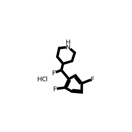 Cl.Fc1ccc(F)c(C(F)C2CCNCC2)c1